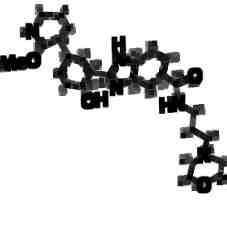 COc1ncccc1-c1ccc(O)c(-c2nc3cc(C(=O)NCCCN4CCOCC4)ccc3[nH]2)c1